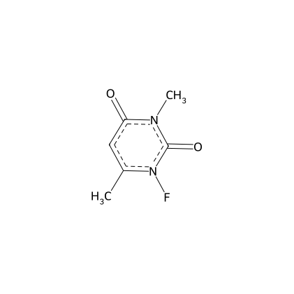 Cc1cc(=O)n(C)c(=O)n1F